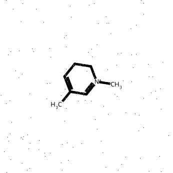 CC1=CCC[N+](C)=C1